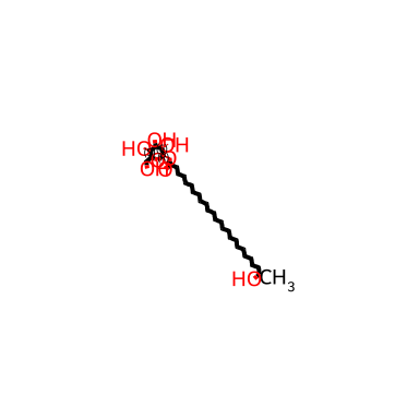 CC(O)CCCCCCCCCCCCCCCCCCCCCCCC(=O)O[C@H]1OC(CO)[C@@H](O)C(O)[C@@H]1O